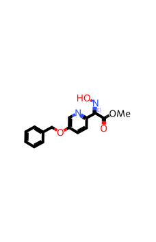 COC(=O)/C(=N/O)c1ccc(OCc2ccccc2)cn1